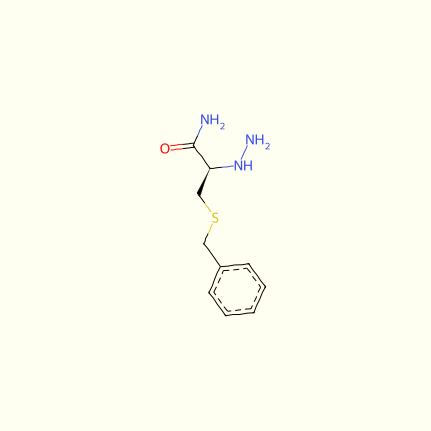 NN[C@@H](CSCc1ccccc1)C(N)=O